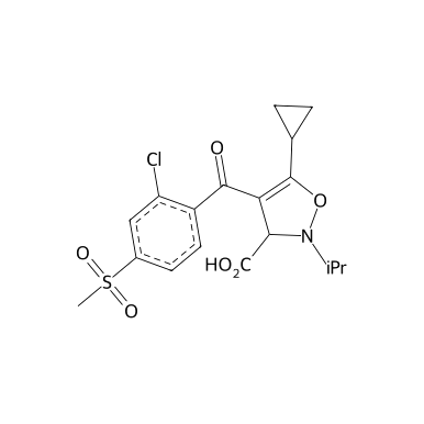 CC(C)N1OC(C2CC2)=C(C(=O)c2ccc(S(C)(=O)=O)cc2Cl)C1C(=O)O